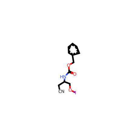 N#CCC(COI)NC(=O)OCc1ccccc1